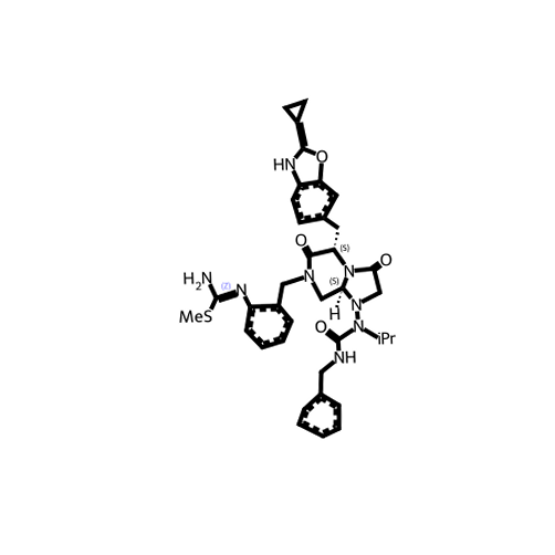 CS/C(N)=N\c1ccccc1CN1C[C@H]2N(C(=O)CN2N(C(=O)NCc2ccccc2)C(C)C)[C@@H](Cc2ccc3c(c2)OC(=C2CC2)N3)C1=O